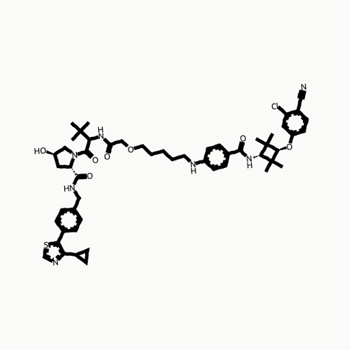 CC(C)(C)C(NC(=O)COCCCCCNc1ccc(C(=O)N[C@H]2C(C)(C)[C@H](Oc3ccc(C#N)c(Cl)c3)C2(C)C)cc1)C(=O)N1C[C@H](O)C[C@H]1C(=O)NCc1ccc(-c2scnc2C2CC2)cc1